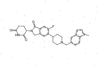 Cn1ccc2cc(CN3CCC(c4cc5c(cc4F)C(=O)N(C4CCC(=O)NC4=O)C5)CC3)ccc21